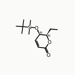 CC[C@H]1OC(=O)C=C[C@H]1O[Si](C)(C)C(C)(C)C